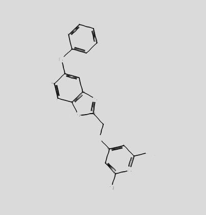 Nc1cc(SCc2nc3cc(Nc4ccccc4)ccc3[nH]2)cc(C(F)(F)F)n1